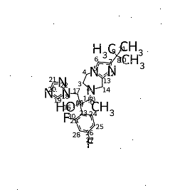 C[C@@H](N1CCn2cc(C(C)(C)C)nc2C1)[C@](O)(Cn1cncn1)c1ccc(F)cc1F